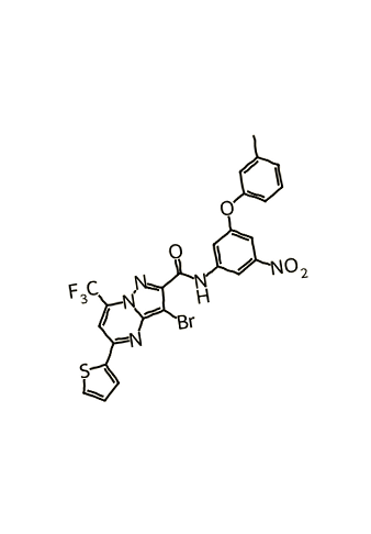 Cc1cccc(Oc2cc(NC(=O)c3nn4c(C(F)(F)F)cc(-c5cccs5)nc4c3Br)cc([N+](=O)[O-])c2)c1